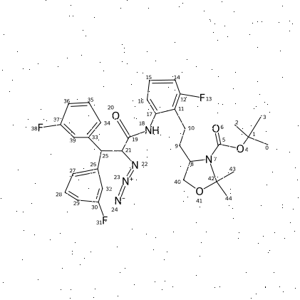 CC(C)(C)OC(=O)N1C(CCc2c(F)cccc2NC(=O)C(N=[N+]=[N-])C(c2cccc(F)c2)c2cccc(F)c2)COC1(C)C